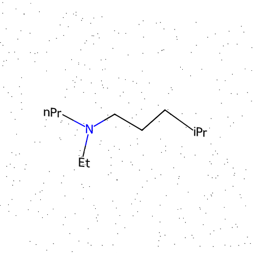 CCCN(CC)CCCC(C)C